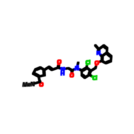 CNC(=O)c1cccc(C=CC(=O)NCC(=O)N(C)c2ccc(Cl)c(COc3cccc4ccc(C)nc34)c2Cl)c1